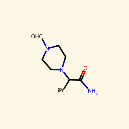 CC(C)C(C(N)=O)N1CCN(C=O)CC1